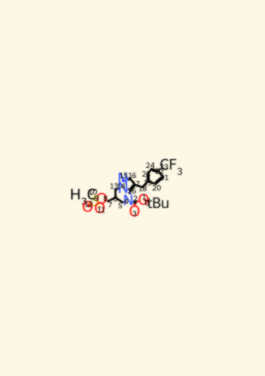 CC(C)(C)OC(=O)N1CC(COS(C)(=O)=O)Cn2ncc(Cc3ccc(C(F)(F)F)cc3)c21